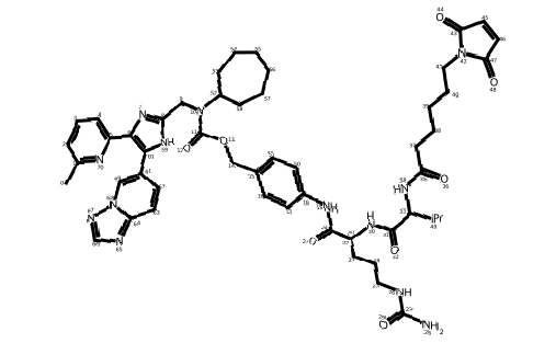 Cc1cccc(-c2nc(CN(C(=O)OCc3ccc(NC(=O)[C@H](CCCNC(N)=O)NC(=O)C(NC(=O)CCCCCN4C(=O)C=CC4=O)C(C)C)cc3)C3CCCCCC3)[nH]c2-c2ccc3ncnn3c2)n1